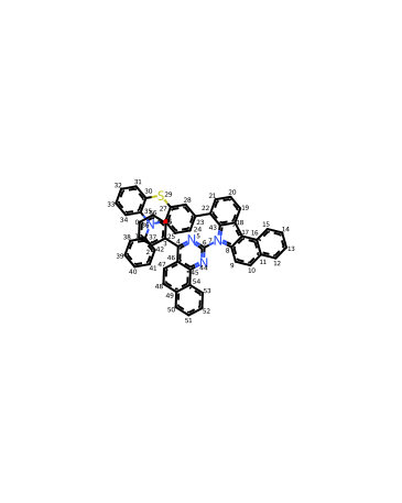 c1ccc(-c2nc(-n3c4ccc5ccccc5c4c4cccc(-c5ccc6c(c5)Sc5ccccc5N6c5ccccc5)c43)nc3c2ccc2ccccc23)cc1